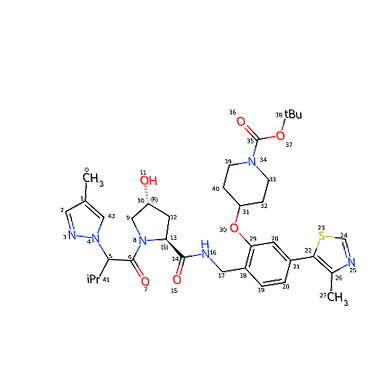 Cc1cnn(C(C(=O)N2C[C@H](O)C[C@H]2C(=O)NCc2ccc(-c3scnc3C)cc2OC2CCN(C(=O)OC(C)(C)C)CC2)C(C)C)c1